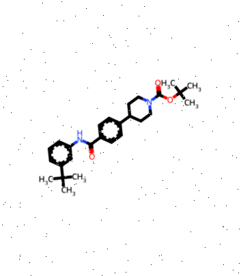 CC(C)(C)OC(=O)N1CCC(c2ccc(C(=O)Nc3cccc(C(C)(C)C)c3)cc2)CC1